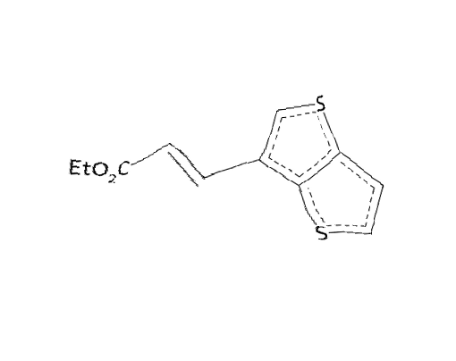 CCOC(=O)C=Cc1csc2ccsc12